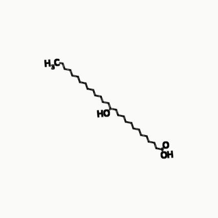 CCCCCCCCCCCCCCC(O)CCCCCCCCCCCCC(=O)O